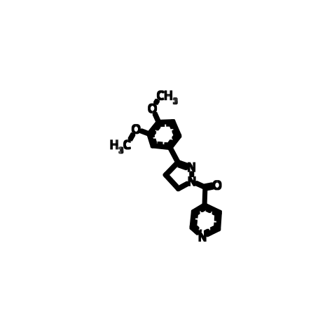 COc1ccc(C2=NN(C(=O)c3ccncc3)CC2)cc1OC